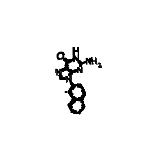 Nc1nc2c(ncn2-c2[c]c3ccccc3cc2)c(=O)[nH]1